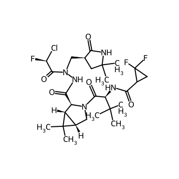 CC1(C)C[C@@H](CN(NC(=O)[C@@H]2[C@@H]3[C@H](CN2C(=O)[C@@H](NC(=O)C2CC2(F)F)C(C)(C)C)C3(C)C)C(=O)[C@@H](F)Cl)C(=O)N1